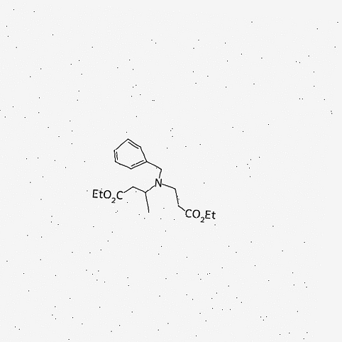 CCOC(=O)CCN(Cc1ccccc1)C(C)CC(=O)OCC